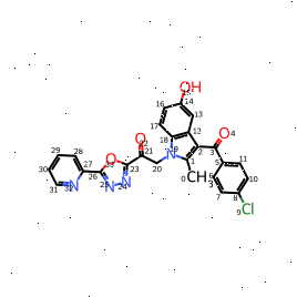 Cc1c(C(=O)c2ccc(Cl)cc2)c2cc(O)ccc2n1CC(=O)c1nnc(-c2ccccn2)o1